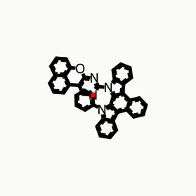 c1ccc(-n2c3ccccc3c3c4ccccc4c4c5ccccc5n(-c5ncc6c(n5)Oc5cccc7cccc-6c57)c4c32)cc1